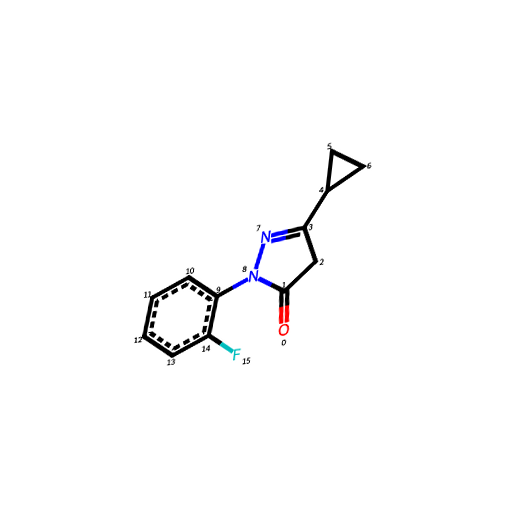 O=C1CC(C2CC2)=NN1c1ccccc1F